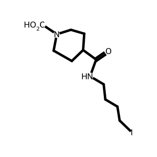 O=C(NCCCCI)C1CCN(C(=O)O)CC1